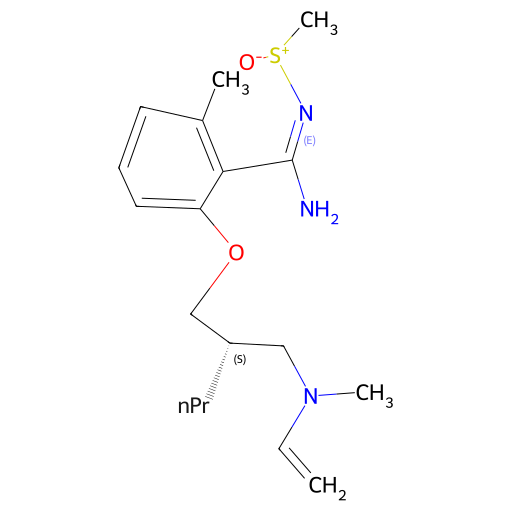 C=CN(C)C[C@H](CCC)COc1cccc(C)c1/C(N)=N\[S+](C)[O-]